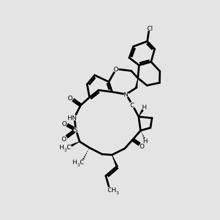 C/C=C/[C@@H]1CC(=O)[C@@H]2CC[C@H]2CN2C[C@@]3(CCCc4cc(Cl)ccc43)COc3ccc(cc32)C(=O)NS(=O)(=O)[C@H](C)[C@@H](C)C1